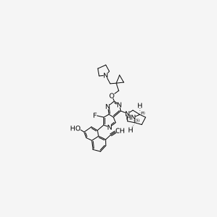 C#Cc1cccc2cc(O)cc(-c3ncc4c(N5C[C@H]6CC[C@@H](C5)N6)nc(OCC5(CN6CCCC6)CC5)nc4c3F)c12